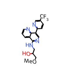 COCC(O)CNc1ncc(-c2ccc(C(F)(F)F)cn2)c2ncccc12